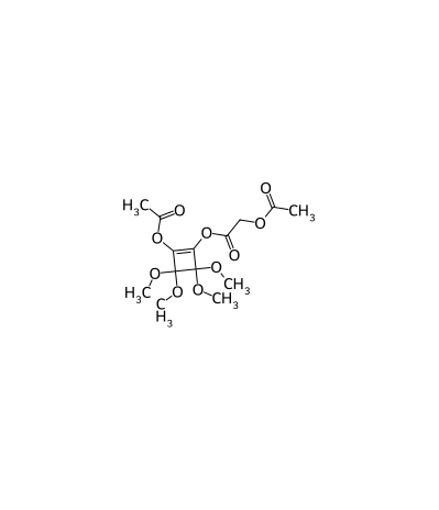 COC1(OC)C(OC(C)=O)=C(OC(=O)COC(C)=O)C1(OC)OC